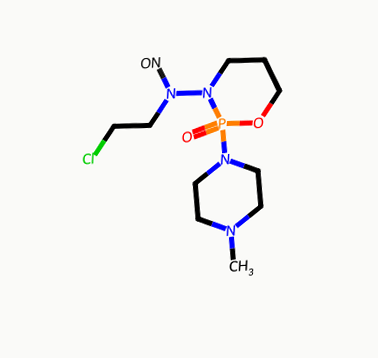 CN1CCN(P2(=O)OCCCN2N(CCCl)N=O)CC1